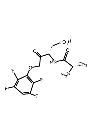 C[C@H](N)C(=O)N[C@@H](CC(=O)O)C(=O)COc1c(F)c(F)cc(F)c1F